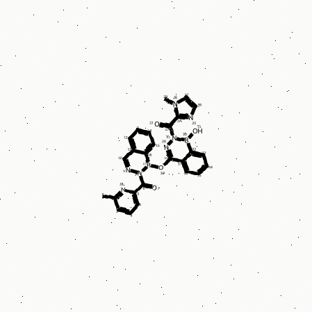 Cc1cccc(C(=O)N2N=Cc3ccccc3B2OC2=NN(C(=O)c3nccn3C)B(O)c3ccccc32)n1